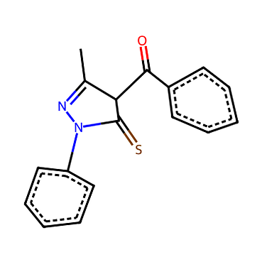 CC1=NN(c2ccccc2)C(=S)C1C(=O)c1ccccc1